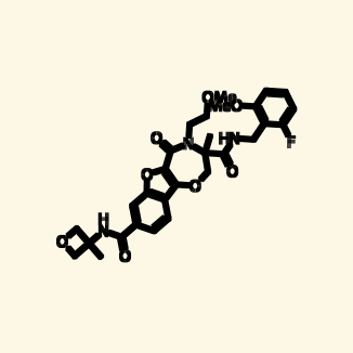 COCCN1C(=O)c2oc3cc(C(=O)NC4(C)COC4)ccc3c2OCC1(C)C(=O)NCc1c(F)cccc1OC